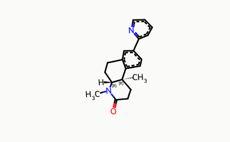 CN1C(=O)CC[C@]2(C)c3ccc(-c4ccccn4)cc3CC[C@@H]12